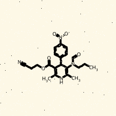 CCCN(C=O)C1=C(C)NC(C)=C(C(=O)OCCC#N)C1c1ccc([N+](=O)[O-])cc1